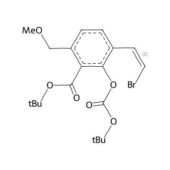 COCc1ccc(/C=C\Br)c(OC(=O)OC(C)(C)C)c1C(=O)OC(C)(C)C